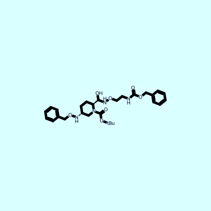 CC(C)(C)OC(=O)N1C[C@H](NOCc2ccccc2)CC[C@H]1C(O)NOCCNC(=O)OCc1ccccc1